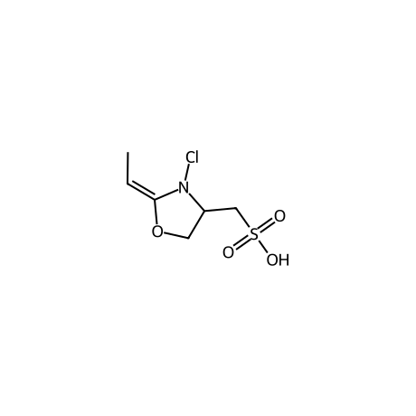 CC=C1OCC(CS(=O)(=O)O)N1Cl